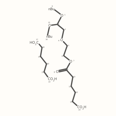 CCCCOC(COCCOC(=O)CCCCC(=O)O)OCCCC.O=C(O)CCCCC(=O)O